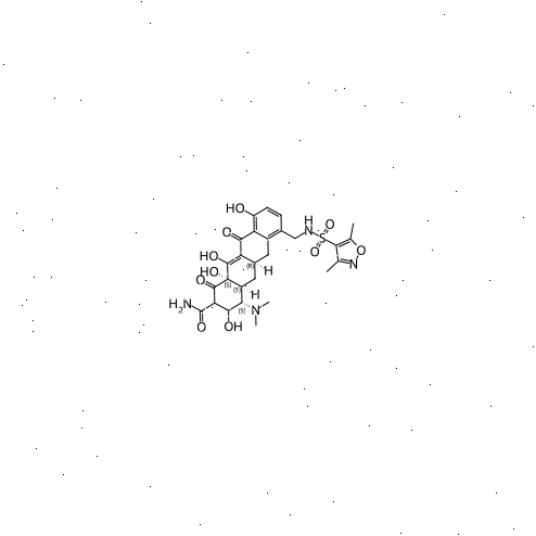 Cc1noc(C)c1S(=O)(=O)NCc1ccc(O)c2c1C[C@H]1C[C@H]3[C@H](N(C)C)C(O)C(C(N)=O)C(=O)[C@@]3(O)C(O)=C1C2=O